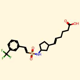 O=C(O)CCC/C=C/C1CCC(NS(=O)(=O)/C=C/c2cccc(C(F)(F)F)c2)C1